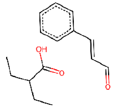 CCC(CC)C(=O)O.O=CC=Cc1ccccc1